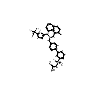 Cc1ccc2ccccc2c1CN(Cc1ccc(-c2cccc(S(=O)(=O)CC(=O)O)c2)cc1)Cc1ccc(C(F)(F)F)o1